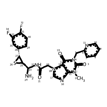 Cn1c(=O)n(Cc2ccccn2)c(=O)c2c1ncn2CC(=O)NC(N)C1S[C@@H]1c1ccc(F)c(F)c1